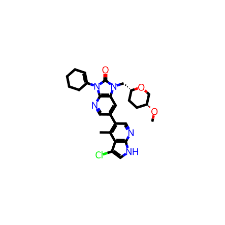 CO[C@@H]1CC[C@H](Cn2c(=O)n(C3=CCCCC3)c3ncc(-c4cnc5[nH]cc(Cl)c5c4C)cc32)OC1